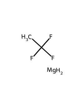 CC(F)(F)F.[MgH2]